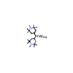 CCCCCCCCCC(C1CC(C)(C)N(C)C(C)(C)C1)C1CC(C)(C)N(C)C(C)(C)C1